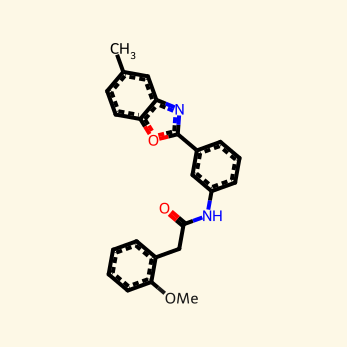 COc1ccccc1CC(=O)Nc1cccc(-c2nc3cc(C)ccc3o2)c1